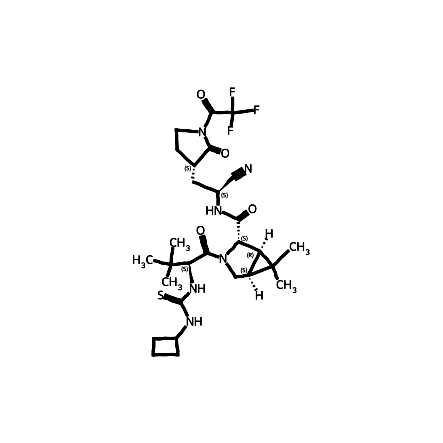 CC(C)(C)[C@H](NC(=S)NC1CCC1)C(=O)N1C[C@H]2[C@@H]([C@H]1C(=O)N[C@H](C#N)C[C@@H]1CCN(C(=O)C(F)(F)F)C1=O)C2(C)C